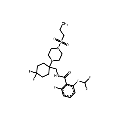 CCCS(=O)(=O)N1CCN(C2(CNC(=O)c3c(F)cccc3OC(F)F)CCC(F)(F)CC2)CC1